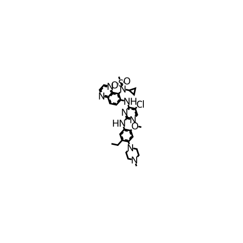 CCc1cc(Nc2ncc(Cl)c(Nc3ccc4nccnc4c3N(C3CC3)S(C)(=O)=O)n2)c(OC)cc1N1CCN(C)CC1